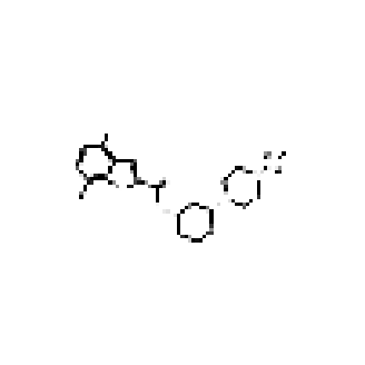 Cc1ccc(F)c2cc(C(=O)N[C@@H]3CCC[C@@H](N4CCN(S(C)(=O)=O)CC4)C3)[nH]c12